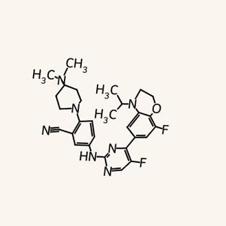 CC(C)N1CCOc2c(F)cc(-c3nc(Nc4ccc(N5CCC(N(C)C)CC5)c(C#N)c4)ncc3F)cc21